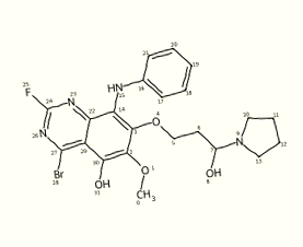 COc1c(OCCC(O)N2CCCC2)c(Nc2ccccc2)c2nc(F)nc(Br)c2c1O